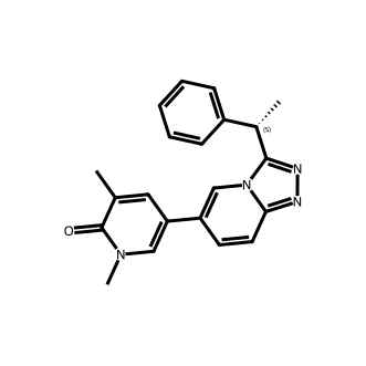 Cc1cc(-c2ccc3nnc([C@@H](C)c4ccccc4)n3c2)cn(C)c1=O